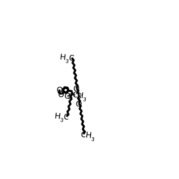 CCCCCCCCCCCCOCCSCCOCCCCCCCCCCCC.CCCCCCCC[S+]([O-])C(C)Cc1ccc2c(c1)OCO2